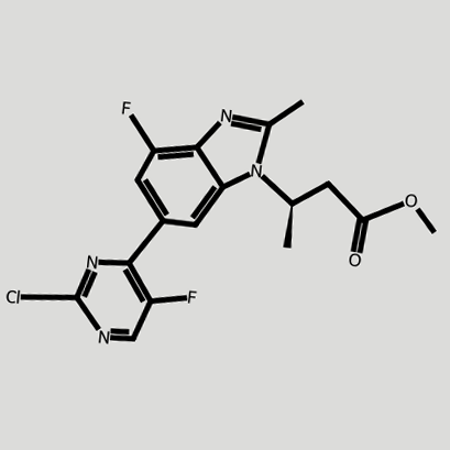 COC(=O)C[C@@H](C)n1c(C)nc2c(F)cc(-c3nc(Cl)ncc3F)cc21